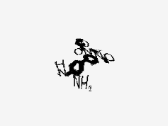 CNCc1ccc(-c2ccc3c(c2)N(C(=O)c2ccco2)C[C@H](C)N3C(C)=O)cc1N